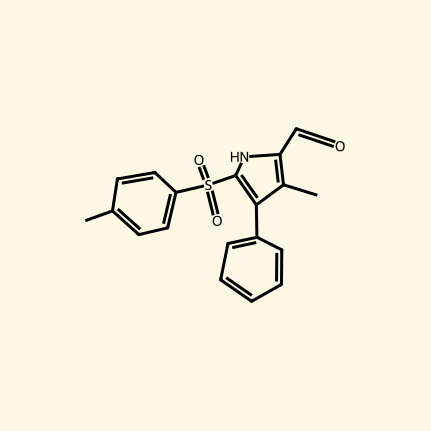 Cc1ccc(S(=O)(=O)c2[nH]c(C=O)c(C)c2-c2ccccc2)cc1